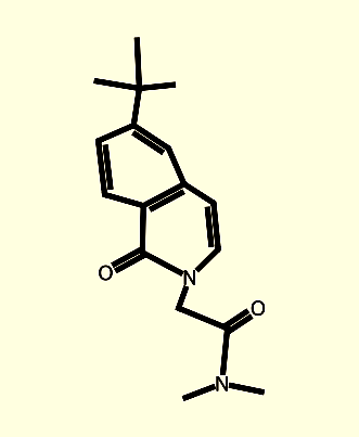 CN(C)C(=O)Cn1ccc2cc(C(C)(C)C)ccc2c1=O